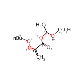 C=C(OOCCCC)C(=O)OC(C)OC(=O)O